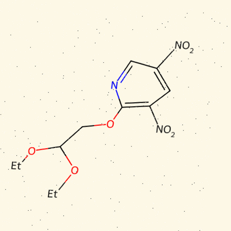 CCOC(COc1ncc([N+](=O)[O-])cc1[N+](=O)[O-])OCC